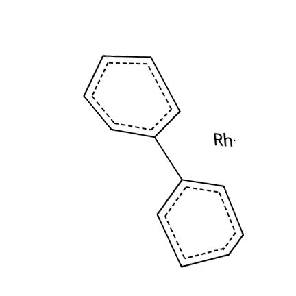 [Rh].c1ccc(-c2ccccc2)cc1